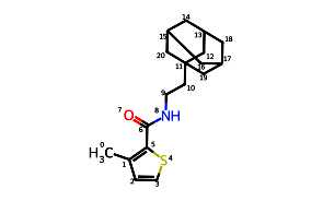 Cc1ccsc1C(=O)NCCC12CC3CC(CC(C3)C1)C2